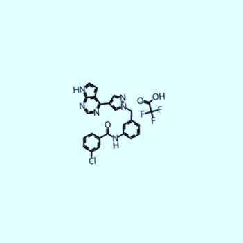 O=C(Nc1cccc(Cn2cc(-c3ncnc4[nH]ccc34)cn2)c1)c1cccc(Cl)c1.O=C(O)C(F)(F)F